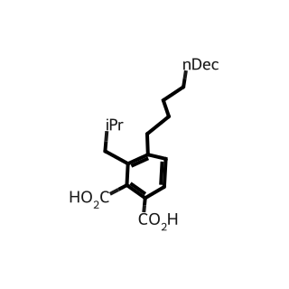 CCCCCCCCCCCCCCc1ccc(C(=O)O)c(C(=O)O)c1CC(C)C